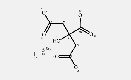 O=C([O-])CC(O)(CC(=O)[O-])C(=O)[O-].[Bi+3].[H]